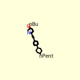 CCCCCC1CCC(c2ccc(C#Cc3ccc(OCCCC)cn3)cc2)CC1